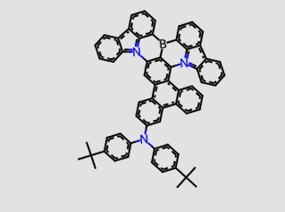 CC(C)(C)c1ccc(N(c2ccc(C(C)(C)C)cc2)c2ccc3c(c2)c2ccccc2c2c4c5c(cc32)-n2c3ccccc3c3cccc(c32)B5c2cccc3c5ccccc5n-4c23)cc1